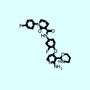 Nc1nccc(Oc2ccc(NC(=O)c3cccn(-c4ccc(F)cc4)c3=O)cc2F)c1C1NCCCO1